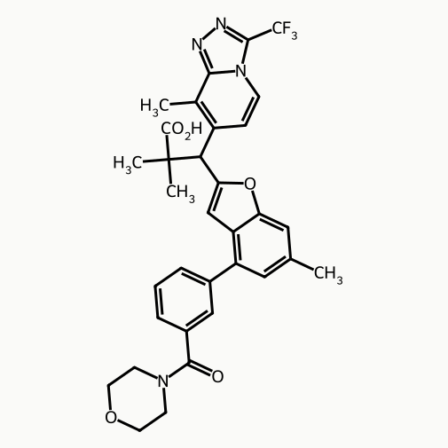 Cc1cc(-c2cccc(C(=O)N3CCOCC3)c2)c2cc(C(c3ccn4c(C(F)(F)F)nnc4c3C)C(C)(C)C(=O)O)oc2c1